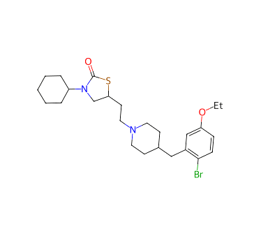 CCOc1ccc(Br)c(CC2CCN(CCC3CN(C4CCCCC4)C(=O)S3)CC2)c1